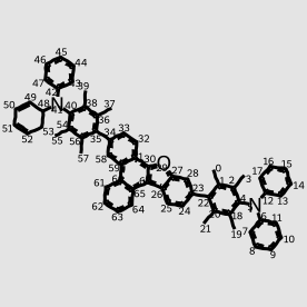 Cc1c(C)c(N(c2ccccc2)c2ccccc2)c(C)c(C)c1-c1ccc2c(c1)oc1c3ccc(-c4c(C)c(C)c(N(c5ccccc5)C5C=CC=CC5)c(C)c4C)cc3c3ccccc3c21